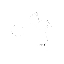 NC(=O)Cc1cc2c(cn1)cnn2C1CCCCO1